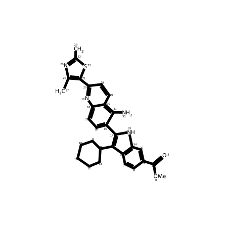 COC(=O)c1ccc2c(C3CCCCC3)c(-c3ccc4nc(-c5sc(C)nc5C)ccc4c3N)[nH]c2c1